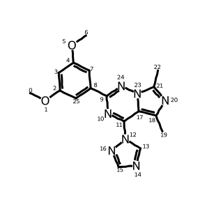 COc1cc(OC)cc(-c2nc(-n3cncn3)c3c(C)nc(C)n3n2)c1